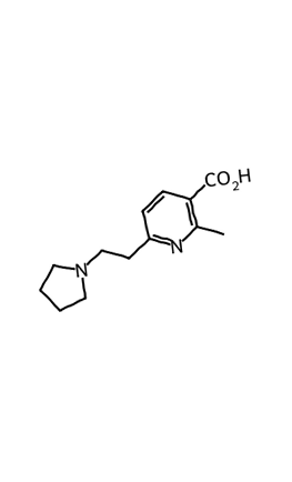 Cc1nc(CCN2CCCC2)ccc1C(=O)O